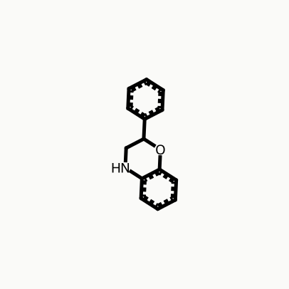 c1ccc(C2CNc3ccccc3O2)cc1